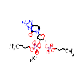 CCCCOP(=O)([O-])OC[C@H]1O[C@H](n2ccc(N)nc2=O)C[C@@H]1OP(=O)([O-])OCCCC.[K+].[K+]